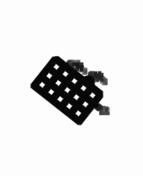 CCC12C3C4C5C6CC7C8C9C%10CC1C%101C9%10C89C67C56C4(C)C4(C)C5(C)C3(C)C21C5%10C469